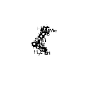 CNC(=O)C1(N2CC3(CC3)CNC2=O)Cc2ccc(NC(=O)[C@@H](NC(=O)C(F)(F)c3ccc(C#N)n3C)C3CCCCC3)cc2C1